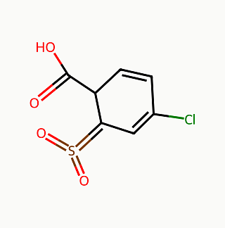 O=C(O)C1C=CC(Cl)=CC1=S(=O)=O